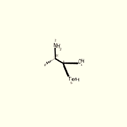 C[C@H](N)C(O)[TeH]